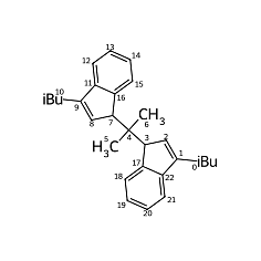 CCC(C)C1=CC(C(C)(C)C2C=C(C(C)CC)c3ccccc32)c2ccccc21